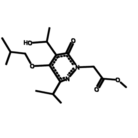 COC(=O)Cn1nc(C(C)C)c(OCC(C)C)c(C(C)O)c1=O